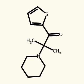 CC(C)(C(=O)c1cccs1)N1CCCCC1